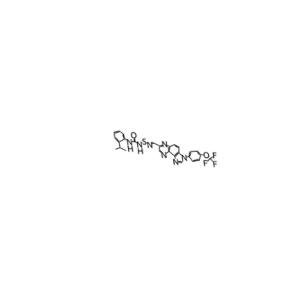 CC(C)c1ccccc1NC(=O)NS/N=C/c1cnc2c(ccc3c2ncn3-c2ccc(OC(F)(F)F)cc2)n1